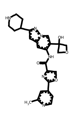 Cc1cc(-c2nc(C(=O)Nc3cc4cc(C5CCNCC5)nn4cc3C3(O)COC3)co2)ccn1